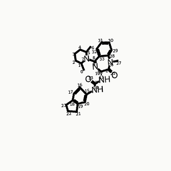 CC1CCCC(C)N1C1=N[C@@H](NC(=O)Nc2ccc3c(c2)CCC3)C(=O)N(C)c2ccccc21